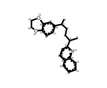 CC(CCC(C)c1ccc2ccccc2n1)c1ccc2c(c1)OCCO2